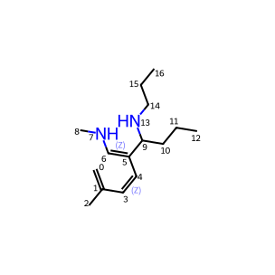 C=C(C)/C=C\C(=C\NC)C(CCC)NCCC